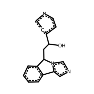 OC(CC1c2ccccc2-c2cncn21)c1ccncc1